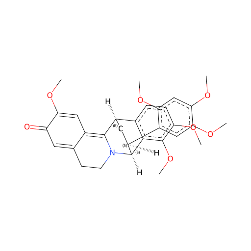 COC1=CC2=C3[C@@H]4C[C@@H](c5cc(OC)c(OC)cc5OC)[C@@H](c5c4ccc(OC)c5OC)N3CCC2=CC1=O